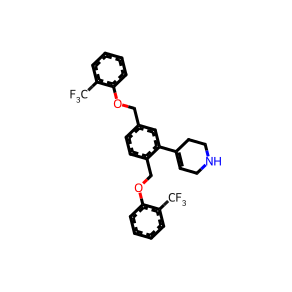 FC(F)(F)c1ccccc1OCc1ccc(COc2ccccc2C(F)(F)F)c(C2=CCNCC2)c1